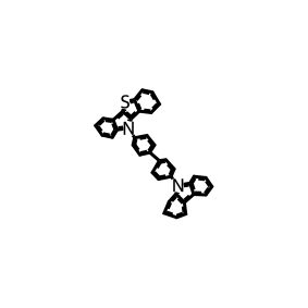 c1ccc2c(c1)sc1c3ccccc3n(-c3ccc(-c4ccc(-n5c6ccccc6c6ccccc65)cc4)cc3)c21